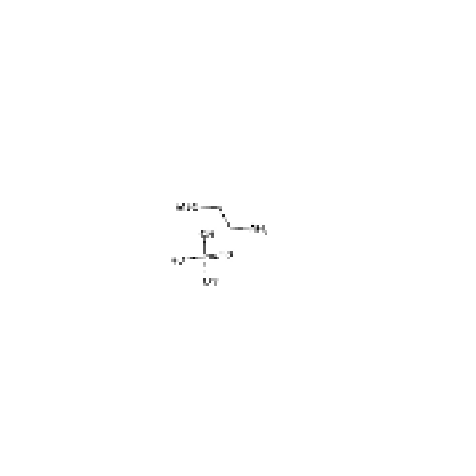 COCCN.O=P(O)(O)O